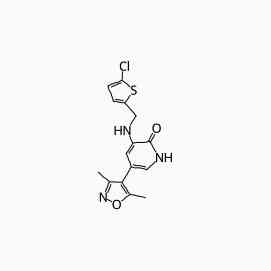 Cc1noc(C)c1-c1c[nH]c(=O)c(NCc2ccc(Cl)s2)c1